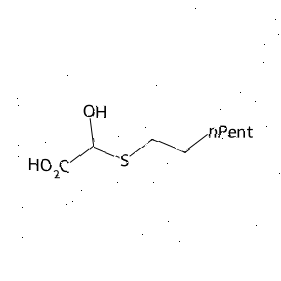 CCCCCCCSC(O)C(=O)O